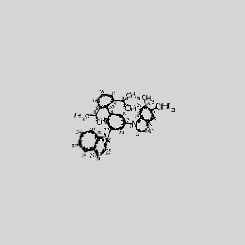 Cc1cc2ncn(-c3cc(-c4c(C(C)C)cccc4C(C)C)cc(-n4cnc5ccccc54)c3)c2cc1C